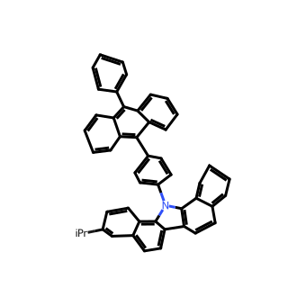 CC(C)c1ccc2c(ccc3c4ccc5ccccc5c4n(-c4ccc(-c5c6ccccc6c(-c6ccccc6)c6ccccc56)cc4)c23)c1